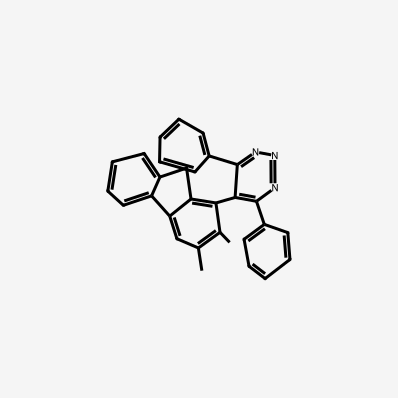 Cc1cc2c(c(-c3c(-c4ccccc4)nnnc3-c3ccccc3)c1C)Cc1ccccc1-2